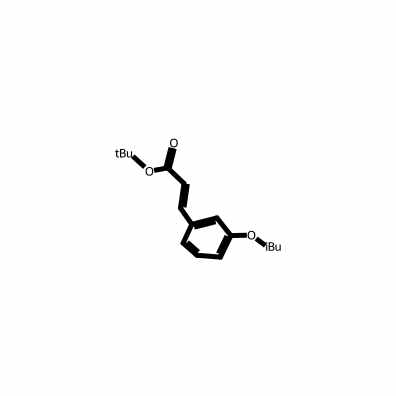 CCC(C)Oc1cccc(C=CC(=O)OC(C)(C)C)c1